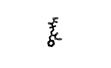 CO[As](C)C(=O)C(C)(C)CCN(Cc1ccccc1)C(=O)OC(C)(C)C